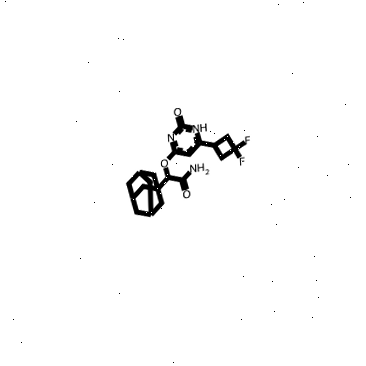 NC(=O)C(Oc1cc(C2CC(F)(F)C2)[nH]c(=O)n1)C12CC3CC(CC(C3)C1)C2